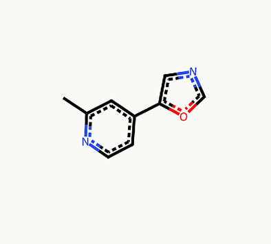 Cc1cc(-c2cnco2)ccn1